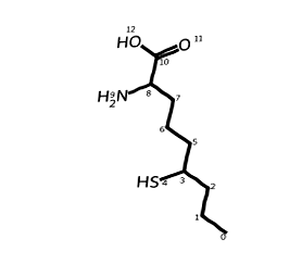 CCCC(S)CCCC(N)C(=O)O